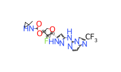 CC1(NC(=O)O[C@@H]2CO[C@H](c3cc(Nc4nccc5nc(C(F)(F)F)cn45)n[nH]3)[C@H]2F)CC1